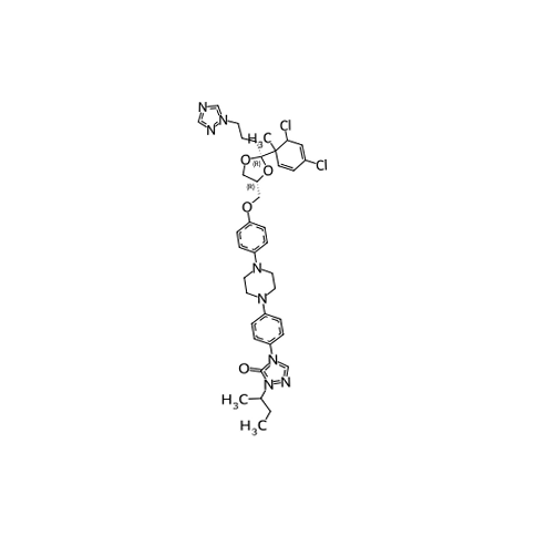 CCC(C)n1ncn(-c2ccc(N3CCN(c4ccc(OC[C@@H]5CO[C@@](CCCn6cncn6)(C6(C)C=CC(Cl)=CC6Cl)O5)cc4)CC3)cc2)c1=O